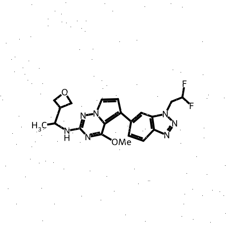 COc1nc(NC(C)C2COC2)nn2ccc(-c3ccc4nnn(CC(F)F)c4c3)c12